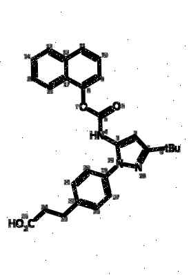 CC(C)(C)c1cc(NC(=O)Oc2cccc3ccccc23)n(-c2ccc(CCC(=O)O)cc2)n1